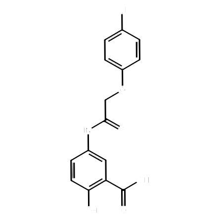 O=C(COc1ccc(Cl)cc1)Nc1ccc(O)c(C(=O)O)c1